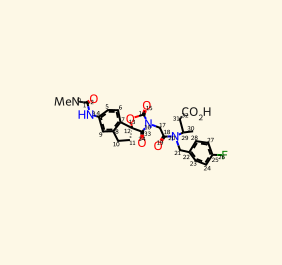 CNC(=O)Nc1ccc2c(c1)CC[C@@]21OC(=O)N(CC(=O)N(Cc2ccc(F)cc2)C(C)CC(=O)O)C1=O